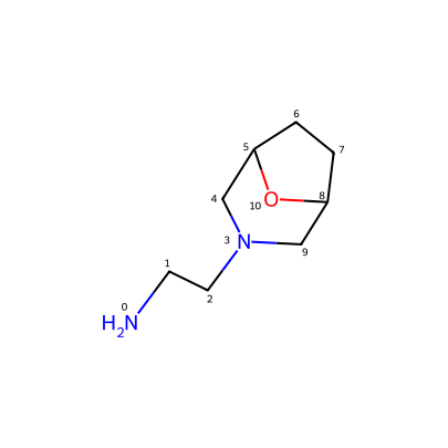 NCCN1CC2CCC(C1)O2